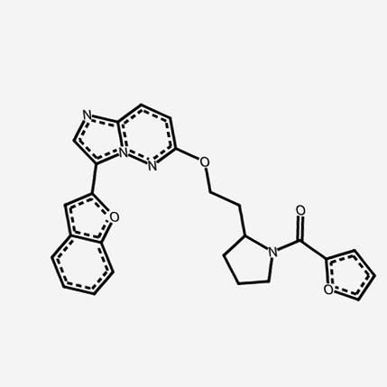 O=C(c1ccco1)N1CCCC1CCOc1ccc2ncc(-c3cc4ccccc4o3)n2n1